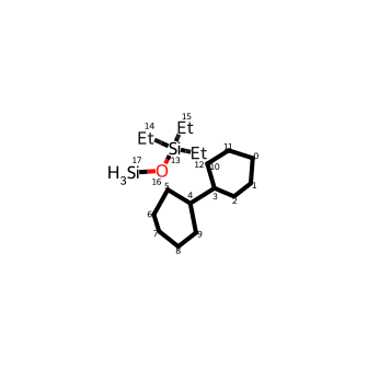 C1CCC(C2CCCCC2)CC1.CC[Si](CC)(CC)O[SiH3]